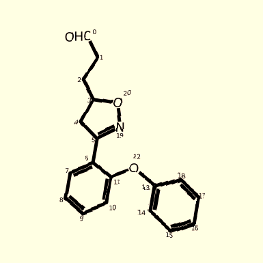 O=CCCC1CC(c2ccccc2Oc2ccccc2)=NO1